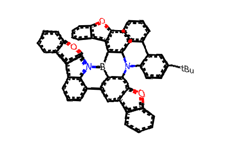 CC(C)(C)c1ccc(N2c3ccc4oc5ccccc5c4c3B3c4c(cc5c(oc6ccccc65)c42)-c2cccc4c5c6ccccc6oc5n3c24)c(-c2ccccc2)c1